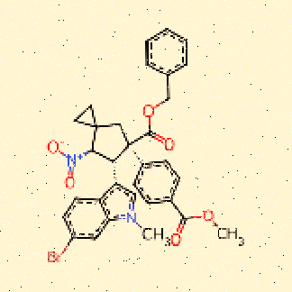 COC(=O)c1ccc([C@@]2(C(=O)OCc3ccccc3)CC3(CC3)[C@H]([N+](=O)[O-])[C@H]2c2cn(C)c3cc(Br)ccc23)cc1